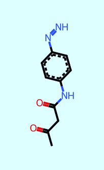 CC(=O)CC(=O)Nc1ccc(N=N)cc1